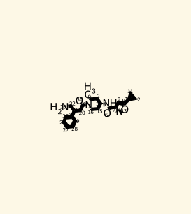 C[C@@H]1C[C@H](NC(=O)c2cc(C3CC3)on2)CCN1C(=O)CC(CN)c1ccccc1